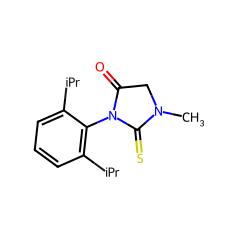 CC(C)c1cccc(C(C)C)c1N1C(=O)CN(C)C1=S